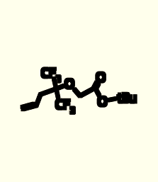 C=CCC(OCC(=O)OC(C)(C)C)(C(F)(F)F)C(F)(F)F